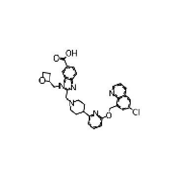 O=C(O)c1ccc2nc(CN3CCC(c4cccc(OCc5cc(Cl)cc6cccnc56)n4)CC3)n(C[C@@H]3CCO3)c2c1